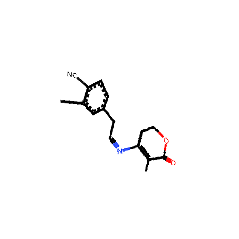 CC1=C(/N=C\Cc2ccc(C#N)c(C)c2)CCOC1=O